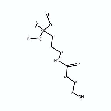 CCO[Si](C)(CCCNC(=O)CCCO)OCC